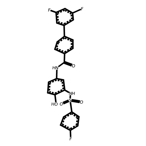 O=C(Nc1ccc(O)c(NS(=O)(=O)c2ccc(F)cc2)c1)c1ccc(-c2cc(F)cc(F)c2)cc1